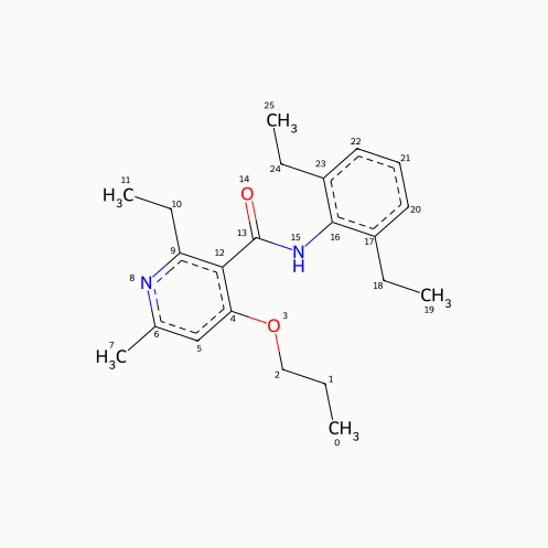 CCCOc1cc(C)nc(CC)c1C(=O)Nc1c(CC)cccc1CC